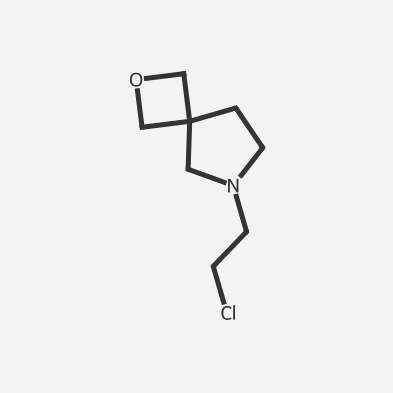 ClCCN1CCC2(COC2)C1